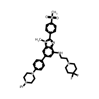 CC(C)N1CCN(c2ccc(-c3cc(NCCN4CCC(F)(F)CC4)c4nc(-c5ccc(S(C)(=O)=O)cc5)n(C)c4c3)cc2)CC1